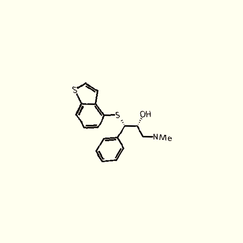 CNC[C@@H](O)[C@@H](Sc1cccc2sccc12)c1ccccc1